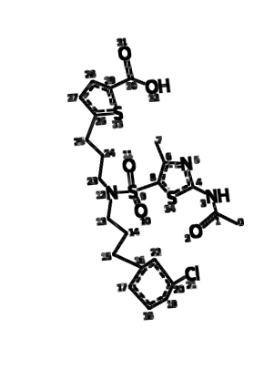 CC(=O)Nc1nc(C)c(S(=O)(=O)N(CCCc2cccc(Cl)c2)CCCc2ccc(C(=O)O)s2)s1